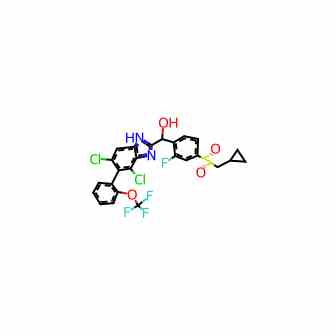 O=S(=O)(CC1CC1)c1ccc(C(O)c2nc3c(Cl)c(-c4ccccc4OC(F)(F)F)c(Cl)cc3[nH]2)c(F)c1